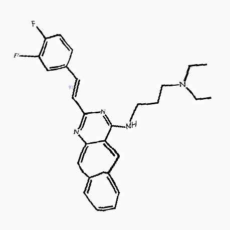 CCN(CC)CCCNc1nc(/C=C/c2ccc(F)c(F)c2)nc2cc3ccccc3cc12